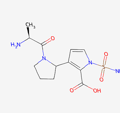 C[C@H](N)C(=O)N1CCCC1c1ccn(S(N)(=O)=O)c1C(=O)O